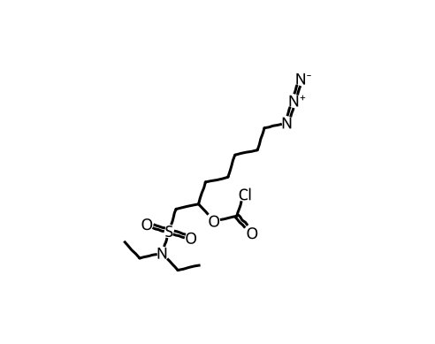 CCN(CC)S(=O)(=O)CC(CCCCCN=[N+]=[N-])OC(=O)Cl